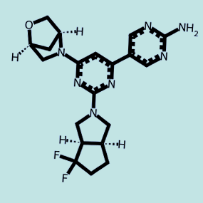 Nc1ncc(-c2cc(N3C[C@@H]4C[C@H]3CO4)nc(N3C[C@H]4CCC(F)(F)[C@H]4C3)n2)cn1